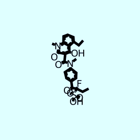 CCc1cccc2c1c(O)c(C(=O)N(C)c1ccc(C(=O)C(F)(CC)S(=O)(=O)O)cc1)c(=O)n2C